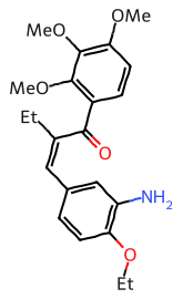 CCOc1ccc(C=C(CC)C(=O)c2ccc(OC)c(OC)c2OC)cc1N